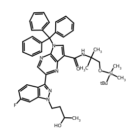 CC(O)CCn1nc(-c2cnc3c(n2)c(C(=O)NC(C)(C)CO[Si](C)(C)C(C)(C)C)cn3C(c2ccccc2)(c2ccccc2)c2ccccc2)c2ccc(F)cc21